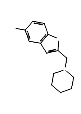 Nc1ccc2sc(CN3CCCCC3)cc2c1